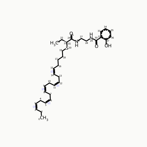 CC/C=C\C/C=C\C/C=C\C/C=C\C/C=C\CCCCS[C@@H](CC)C(=O)NCCNC(=O)c1ccccc1O